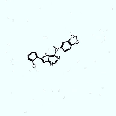 CN(c1ccc2c(c1)OCO2)c1ncnc2cc(-c3ccccc3Cl)sc12